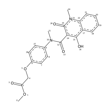 COC(=O)COc1ccc(N(C)C(=O)c2c(O)c3ccccc3n(C)c2=O)cc1